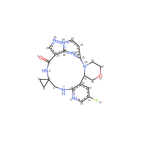 O=C1NC2(CC2)CNc2ncc(F)cc2C2COCCN2c2ccn3ncc1c3n2